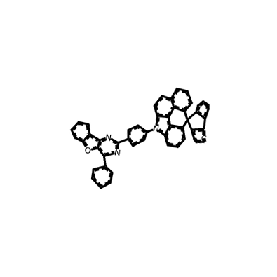 c1ccc(-c2nc(-c3ccc(-n4c5cccc6c5c5c7c(cccc7ccc54)C64c5ccccc5-c5ccccc54)cc3)nc3c2oc2ccccc23)cc1